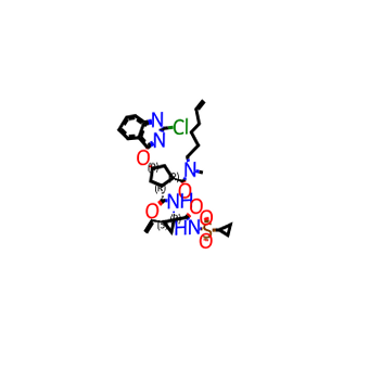 C=CCCCCN(C)C(=O)[C@@H]1C[C@H](Oc2nc(Cl)nc3ccccc23)C[C@H]1C(=O)N[C@]1(C(=O)NS(=O)(=O)C2CC2)C[C@H]1C=C